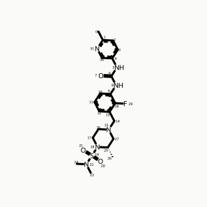 Cc1ccc(NC(=O)Nc2cccc(CN3CCN(S(=O)(=O)N(C)C)[C@@H](C)C3)c2F)cn1